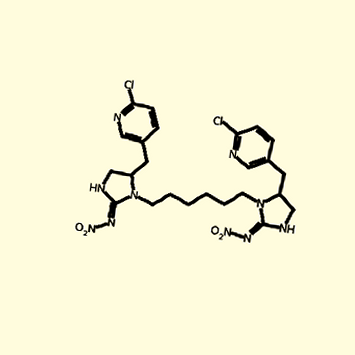 O=[N+]([O-])N=C1NCC(Cc2ccc(Cl)nc2)N1CCCCCCN1C(=N[N+](=O)[O-])NCC1Cc1ccc(Cl)nc1